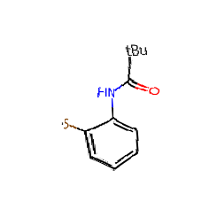 CC(C)(C)C(=O)Nc1ccccc1[S]